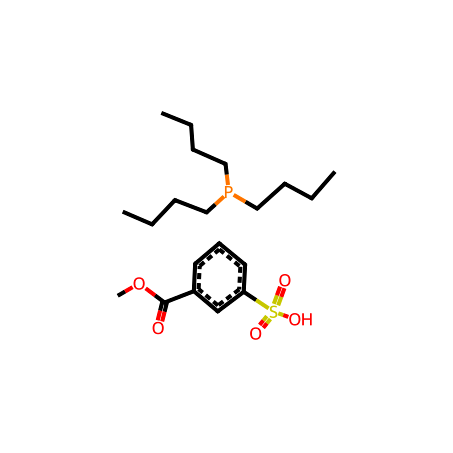 CCCCP(CCCC)CCCC.COC(=O)c1cccc(S(=O)(=O)O)c1